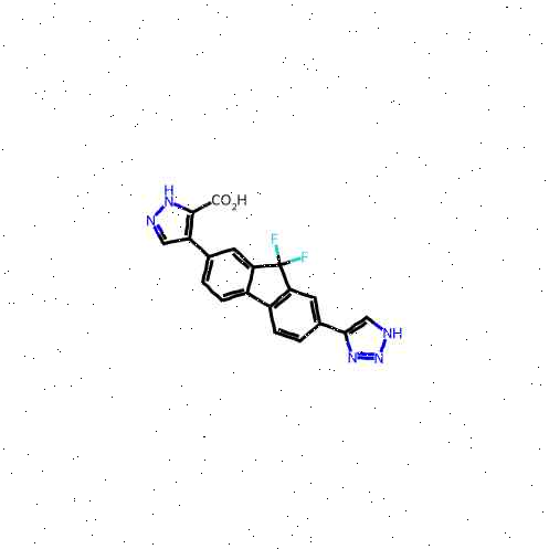 O=C(O)c1[nH]ncc1-c1ccc2c(c1)C(F)(F)c1cc(-c3c[nH]nn3)ccc1-2